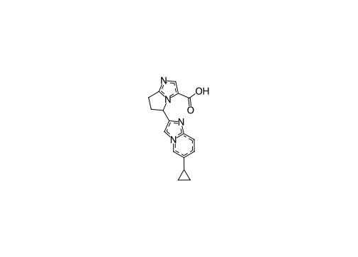 O=C(O)c1cnc2n1C(c1cn3cc(C4CC4)ccc3n1)CC2